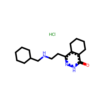 Cl.O=c1[nH]nc(CCNCC2CCCCC2)c2c1CCCC2